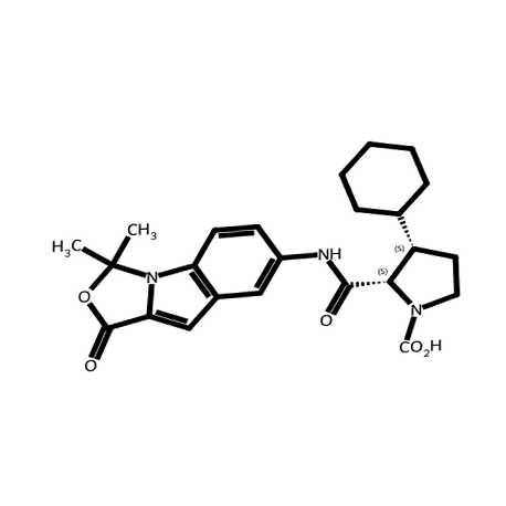 CC1(C)OC(=O)c2cc3cc(NC(=O)[C@@H]4[C@H](C5CCCCC5)CCN4C(=O)O)ccc3n21